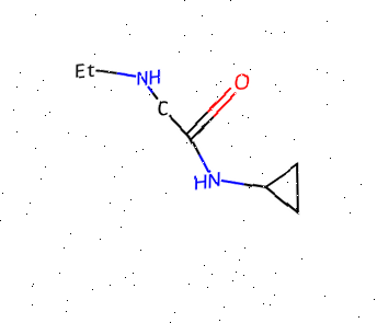 CCNCC(=O)NC1CC1